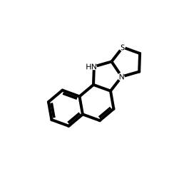 C1=CC2C(NC3SCCN32)c2ccccc21